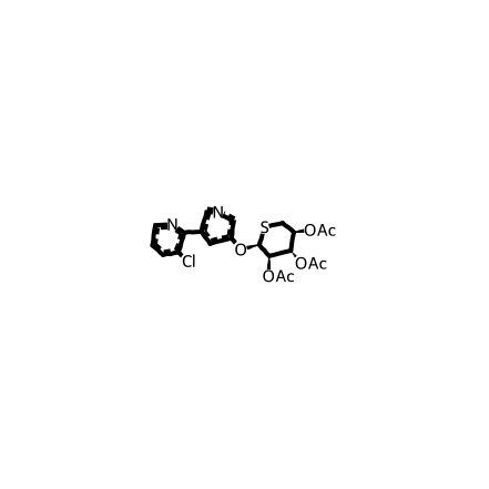 CC(=O)O[C@@H]1[C@@H](OC(C)=O)[C@@H](Oc2cncc(-c3ncccc3Cl)c2)SC[C@H]1OC(C)=O